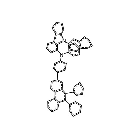 c1ccc(-c2c(-c3ccccc3)c3cc(-c4ccc(N(c5ccccc5)c5cccc6c7ccccc7n(-c7ccc8ccccc8c7)c56)cc4)ccc3c3ccccc23)cc1